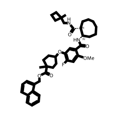 COc1cc(F)c(OC2CCC(C)(C(=O)OCc3cccc4ccccc34)CC2)cc1C(=O)N[C@H]1CCCCCC[C@H]1C(=O)NCC1(C)CCC1